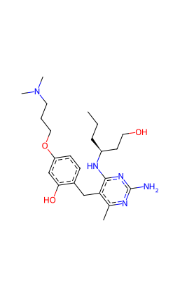 CCC[C@@H](CCO)Nc1nc(N)nc(C)c1Cc1ccc(OCCCN(C)C)cc1O